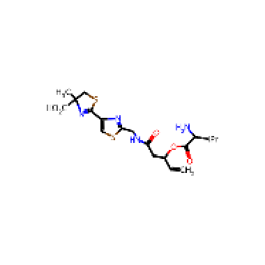 C=CC(CC(=O)NCc1nc(C2=NC(C)(C(=O)O)CS2)cs1)OC(=O)C(N)C(C)C